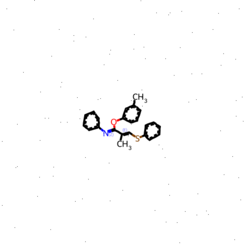 CC(=C\Sc1ccccc1)/C(=N/c1ccccc1)Oc1cccc(C)c1